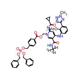 [2H]C([2H])([2H])NC(=O)c1cn(COC(=O)c2ccc(COP(=O)(OCc3ccccc3)OCc3ccccc3)cc2)/c(=N/C(=O)C2CC2)cc1Nc1cccc(-c2nnn(C)n2)c1OC